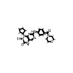 CCN1C(=O)N(C)c2cnc(Nc3ccc(C(=O)N4CCOCC4)cc3)nc2N1C1CCCC1